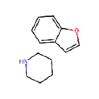 C1CCNCC1.c1ccc2occc2c1